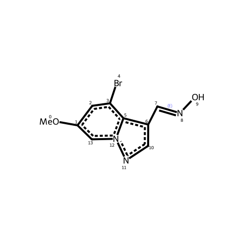 COc1cc(Br)c2c(/C=N/O)cnn2c1